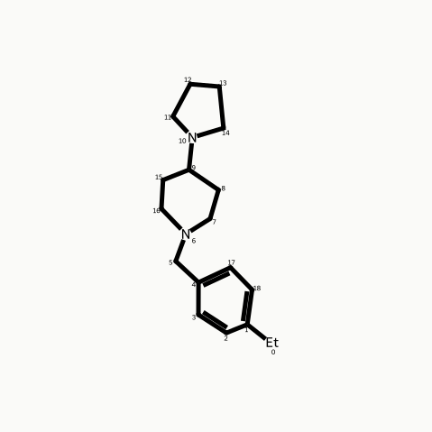 CCc1ccc(CN2CCC(N3CCCC3)CC2)cc1